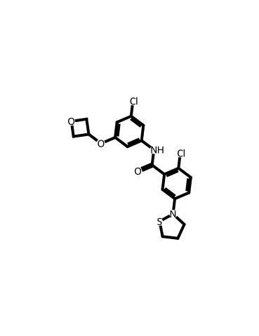 O=C(Nc1cc(Cl)cc(OC2COC2)c1)c1cc(N2CCCS2)ccc1Cl